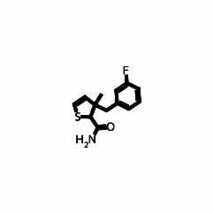 CC1(Cc2cccc(F)c2)C=CSC1C(N)=O